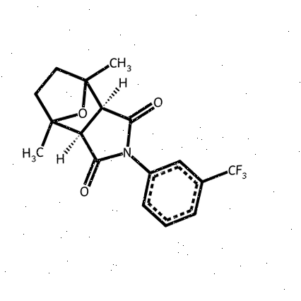 CC12CCC(C)(O1)[C@H]1C(=O)N(c3cccc(C(F)(F)F)c3)C(=O)[C@H]12